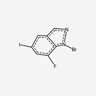 Fc1cc(I)cc2cnn(Br)c12